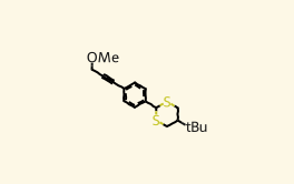 COCC#Cc1ccc(C2SCC(C(C)(C)C)CS2)cc1